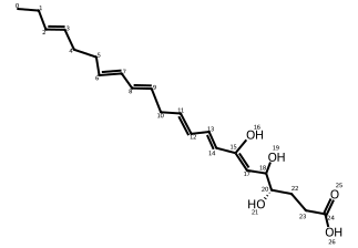 CCC=CCCC=CC=CCC=CC=CC(O)=CC(O)[C@@H](O)CCC(=O)O